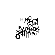 CC(C)(C)C(CS(=O)(=O)c1ccccc1)NC(=O)N[C@H](C(=O)N1C[C@H]2C([C@H]1C(=O)NC(CC1CC1)C(=O)C(N)=O)C2(C)C)C(C)(C)C